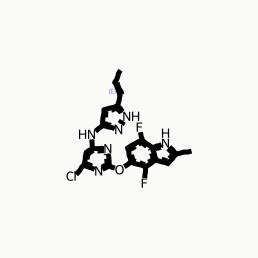 C/C=C/c1cc(Nc2cc(Cl)nc(Oc3cc(F)c4[nH]c(C)cc4c3F)n2)n[nH]1